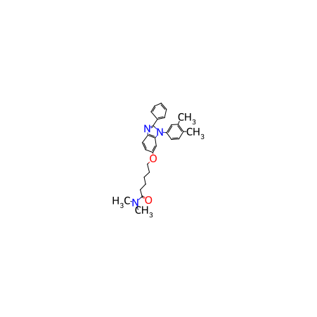 Cc1ccc(-n2c(-c3ccccc3)nc3ccc(OCCCCCC(=O)N(C)C)cc32)cc1C